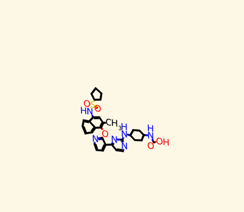 Cc1cc(NS(=O)(=O)C2CCCC2)c2ccccc2c1Oc1ncccc1-c1ccnc(NC2CCC(NC(=O)O)CC2)n1